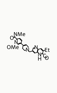 CCC1=Cc2ncc(CN3CC=C(c4ccc(C(=O)NC)nc4OC)CC3)cc2NC1=C=O